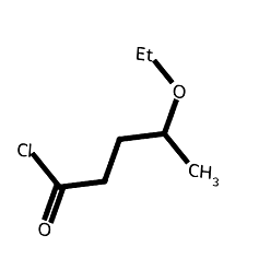 CCOC(C)CCC(=O)Cl